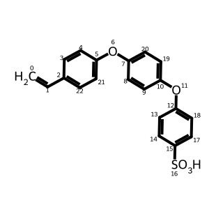 C=Cc1ccc(Oc2ccc(Oc3ccc(S(=O)(=O)O)cc3)cc2)cc1